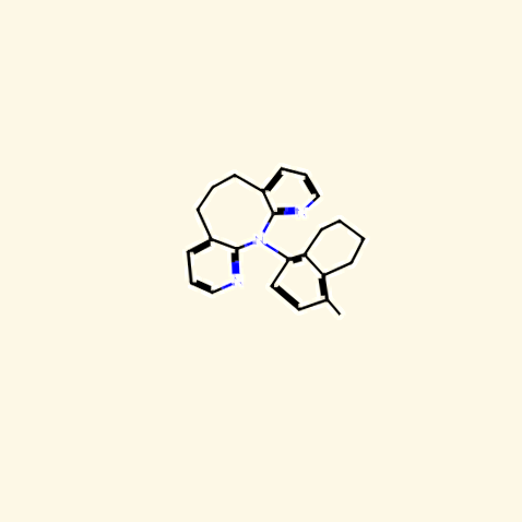 Cc1ccc(N2c3ncccc3CCCc3cccnc32)c2c1CCCC2